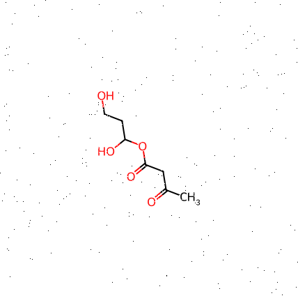 CC(=O)CC(=O)OC(O)CCO